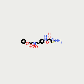 Nc1nc([C@H](O)C(=O)Nc2ccc(CCN(CC(O)COc3ccccc3)C(=O)O)cc2)cs1